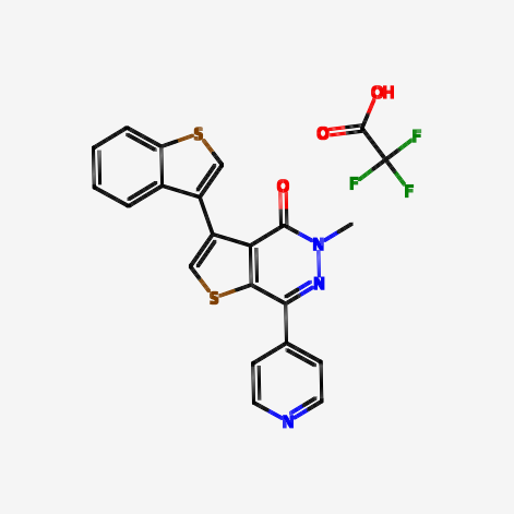 Cn1nc(-c2ccncc2)c2scc(-c3csc4ccccc34)c2c1=O.O=C(O)C(F)(F)F